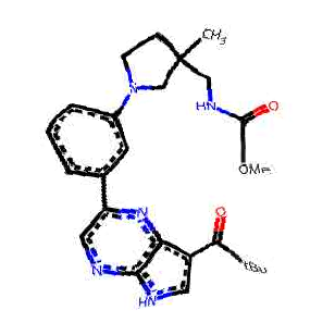 COC(=O)NCC1(C)CCN(c2cccc(-c3cnc4[nH]cc(C(=O)C(C)(C)C)c4n3)c2)C1